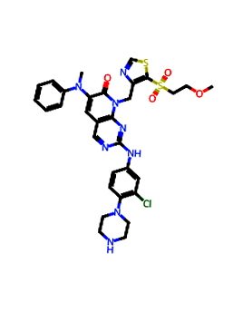 COCCS(=O)(=O)c1scnc1Cn1c(=O)c(N(C)c2ccccc2)cc2cnc(Nc3ccc(N4CCNCC4)c(Cl)c3)nc21